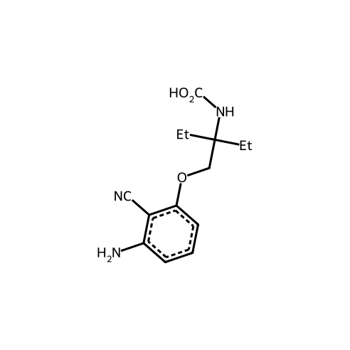 CCC(CC)(COc1cccc(N)c1C#N)NC(=O)O